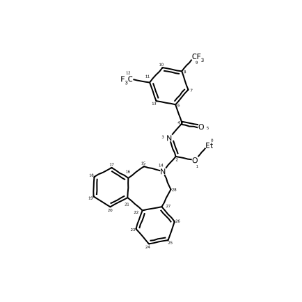 CCO/C(=N\C(=O)c1cc(C(F)(F)F)cc(C(F)(F)F)c1)N1Cc2ccccc2-c2ccccc2C1